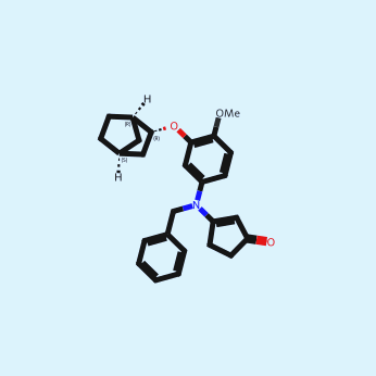 COc1ccc(N(Cc2ccccc2)C2=CC(=O)CC2)cc1O[C@@H]1C[C@H]2CC[C@@H]1C2